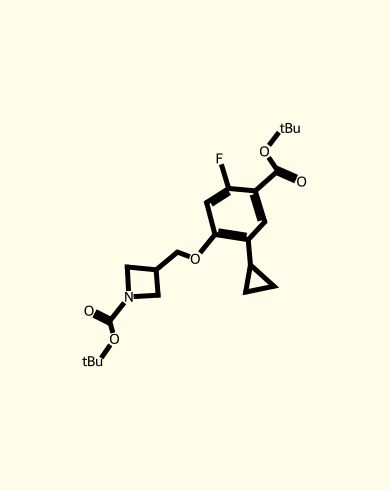 CC(C)(C)OC(=O)c1cc(C2CC2)c(OCC2CN(C(=O)OC(C)(C)C)C2)cc1F